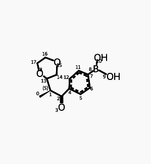 C[C@H](C(=O)c1ccc(B(O)O)cc1)C1COCCO1